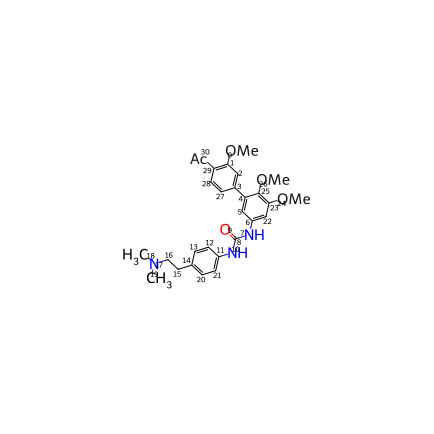 COc1cc(-c2cc(NC(=O)Nc3ccc(CCN(C)C)cc3)cc(OC)c2OC)ccc1C(C)=O